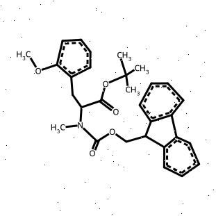 COc1ccccc1CC(C(=O)OC(C)(C)C)N(C)C(=O)OCC1c2ccccc2-c2ccccc21